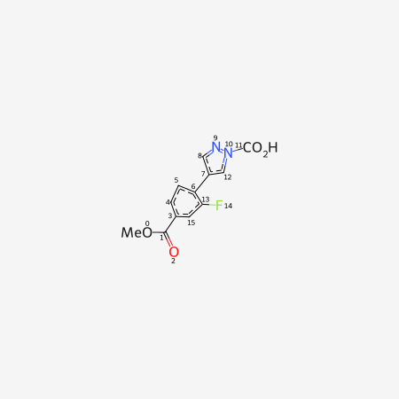 COC(=O)c1ccc(-c2cnn(C(=O)O)c2)c(F)c1